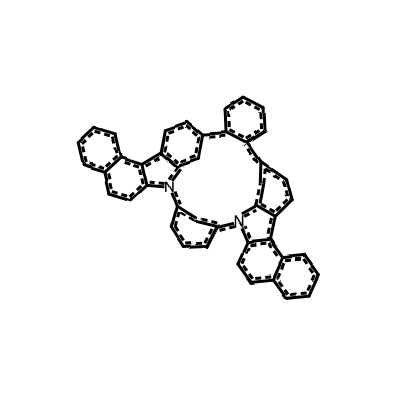 c1ccc2c(c1)ccc1c2c2ccc3cc2n1c1cccc(c1)n1c2cc(ccc2c2c4ccccc4ccc21)c1ccccc31